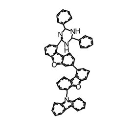 c1ccc(C2N=C(c3cccc4oc5cc(-c6cccc7oc8c(-n9c%10ccccc%10c%10ccccc%109)cccc8c67)ccc5c34)NC(c3ccccc3)N2)cc1